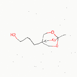 CC12OCC(CCCO)(CO1)CO2